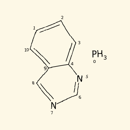 P.c1ccc2ncncc2c1